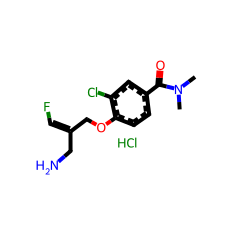 CN(C)C(=O)c1ccc(OC/C(=C\F)CN)c(Cl)c1.Cl